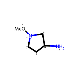 CON1CCC(N)C1